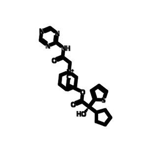 O=C(C[N+]12CCC(CC1)C(OC(=O)[C@@](O)(c1cccs1)C1CCCC1)C2)Nc1ncncn1